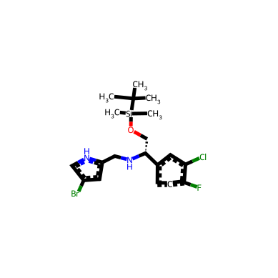 CC(C)(C)[Si](C)(C)OC[C@@H](NCc1cc(Br)c[nH]1)c1ccc(F)c(Cl)c1